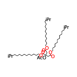 CC(=O)OC(CC(=O)OCCCCCCCCCCCC(C)C)(CC(=O)OCCCCCCCCCCCC(C)C)C(=O)OCCCCCCCCCCCC(C)C